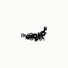 N#Cc1ccc2nc(NC3CC3)c(N3CCN(S(=O)(=O)c4ccc(Br)s4)CC3)nc2c1